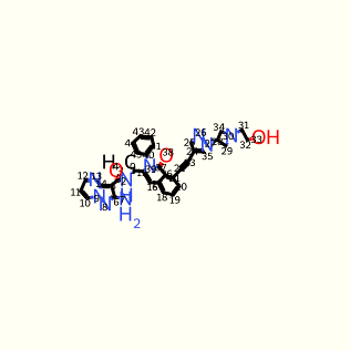 C[C@@H](NC(=O)c1c(N)nn2cccnc12)c1cc2cccc(C#Cc3cnn(C4CN(CCO)C4)c3)c2c(=O)n1-c1ccccc1